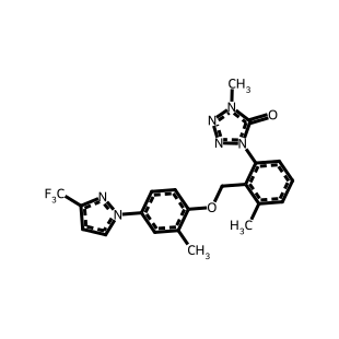 Cc1cc(-n2ccc(C(F)(F)F)n2)ccc1OCc1c(C)cccc1-n1nnn(C)c1=O